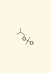 CC(C)COC(C)(C)[O]